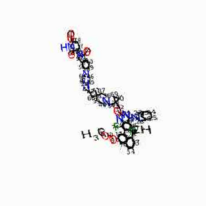 C#Cc1cccc2cc(OCOC)cc(-c3c(F)cc4c(N5CC6CCC(C6)C5)nc(OCC5(CN6CCC7(CC6)CC(CN6CCN(c8ccc9c(c8)CN([C@H]8CCC(=O)NC8=O)C9=O)CC6)C7)CC5)nc4c3F)c12